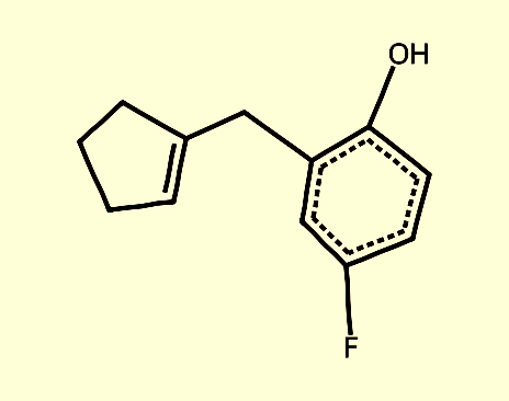 Oc1ccc(F)cc1CC1=CCCC1